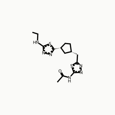 CCNc1nnc([C@@H]2CC[C@H](Cc3nnc(NC(C)=O)s3)C2)s1